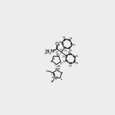 CC1=[N+](C)CCN1[C@@H]1CC[C@H](C(C(N)=O)(c2ccccc2)c2ccccc2)C1.[I-]